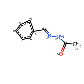 O=C(N/N=C/c1ccccc1)C(F)(F)F